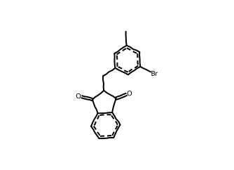 Cc1cc(Br)cc(CC2C(=O)c3ccccc3C2=O)c1